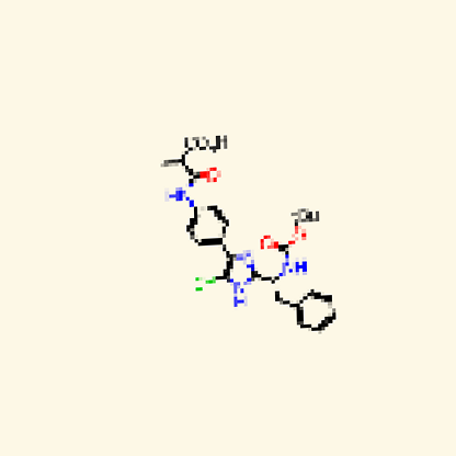 CC(C(=O)O)C(=O)Nc1ccc(-c2nc([C@H](Cc3ccccc3)NC(=O)OC(C)(C)C)[nH]c2Cl)cc1